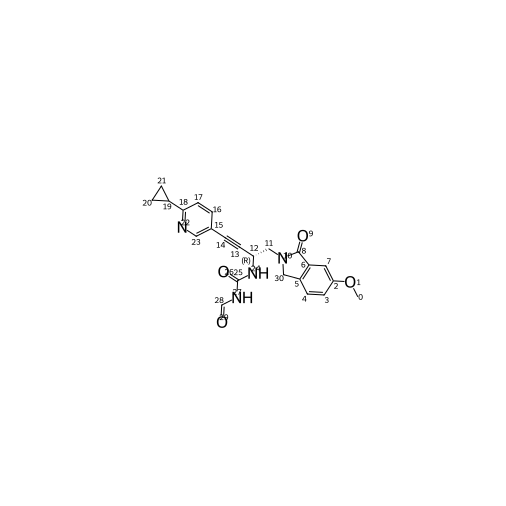 COc1ccc2c(c1)C(=O)N(C[C@@H](C#Cc1ccc(C3CC3)nc1)NC(=O)NC=O)C2